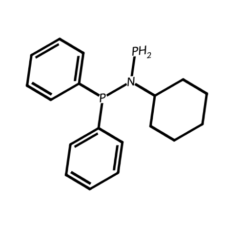 PN(C1CCCCC1)P(c1ccccc1)c1ccccc1